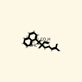 C=CC(C)(CCC=C(C)C)C(C=O)(C(=O)O)c1cccc2ccccc12